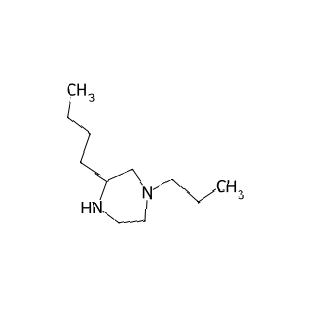 CCCCC1CN(CCC)CCN1